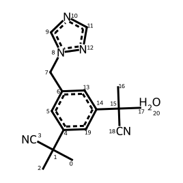 CC(C)(C#N)c1cc(Cn2cncn2)cc(C(C)(C)C#N)c1.O